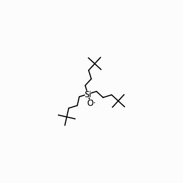 CC(C)(C)CCC[Si]([O])(CCCC(C)(C)C)CCCC(C)(C)C